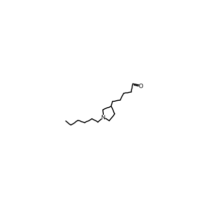 CCCCCCN1CCC(CCCCC=O)C1